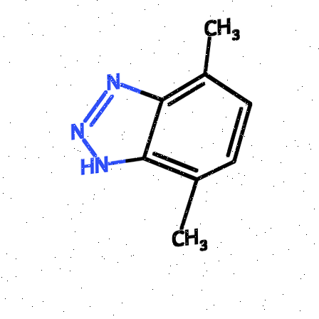 Cc1ccc(C)c2[nH]nnc12